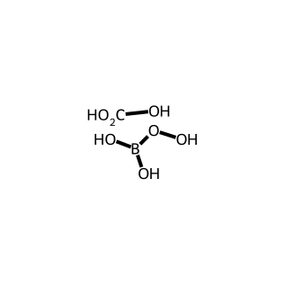 O=C(O)O.OOB(O)O